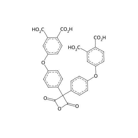 O=C(O)c1ccc(Oc2ccc(C3(c4ccc(Oc5ccc(C(=O)O)c(C(=O)O)c5)cc4)C(=O)OC3=O)cc2)cc1C(=O)O